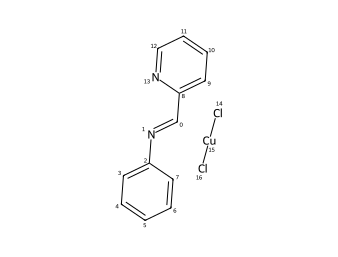 C(=Nc1ccccc1)c1ccccn1.[Cl][Cu][Cl]